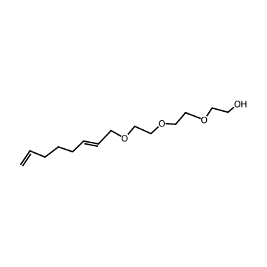 C=CCCCC=CCOCCOCCOCCO